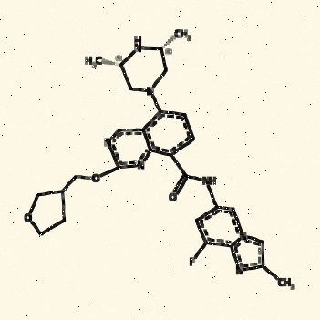 Cc1cn2cc(NC(=O)c3ccc(N4C[C@@H](C)N[C@@H](C)C4)c4cnc(OCC5CCOC5)nc34)cc(F)c2n1